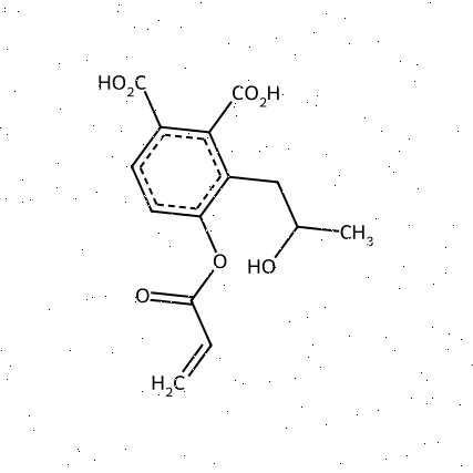 C=CC(=O)Oc1ccc(C(=O)O)c(C(=O)O)c1CC(C)O